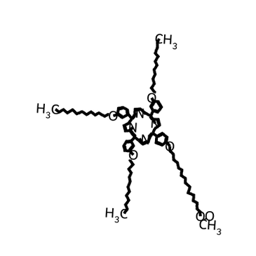 CCCCCCCCCCCCCOc1cccc(C2=C3C=CC(=N3)C(c3cccc(OCCCCCCCCCCCCC)c3)=C3C=CC(=N3)C(c3cccc(OCCCCCCCCCCCCC)c3)=C3C=CC(=N3)C(c3ccc(OCCCCCCCCCCCCCCCCOC(C)=O)cc3)=C3C=CC2=N3)c1